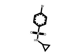 O=S(=O)(NC1CC1)c1ccc(Br)cc1